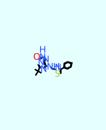 CC(C)(C)c1cn2c(=O)[nH]nc2c(NCc2nc(-c3ccccc3)cs2)n1